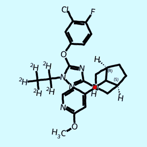 [2H]C([2H])([2H])C([2H])([2H])n1nc(NC2[C@@H]3CC[C@H]2CN(c2ccnc(OC)c2)C3)nc1Oc1ccc(F)c(Cl)c1